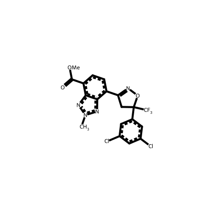 COC(=O)c1ccc(C2=NOC(c3cc(Cl)cc(Cl)c3)(C(F)(F)F)C2)c2nn(C)nc12